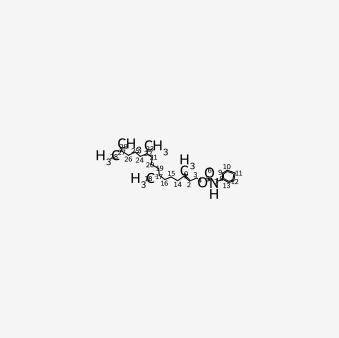 C/C(=C\COC(=O)Nc1ccccc1)CCC[C@H](C)CCC[C@H](C)CCCC(C)C